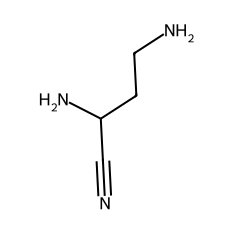 N#CC(N)CCN